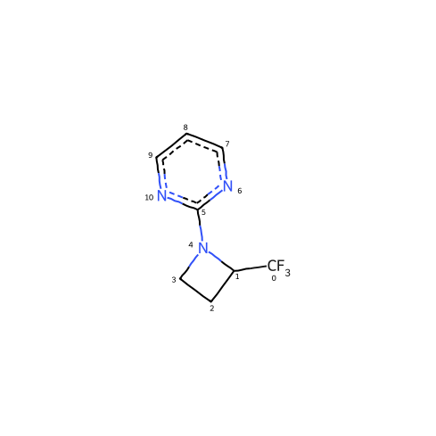 FC(F)(F)C1CCN1c1ncccn1